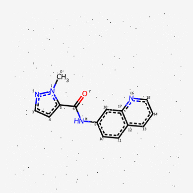 Cn1nccc1C(=O)Nc1ccc2cccnc2c1